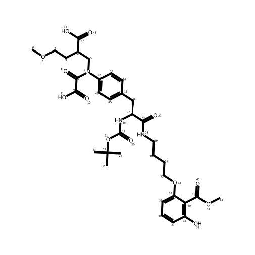 COCCC(CN(C(=O)C(=O)O)c1ccc(C[C@H](NC(=O)OC(C)(C)C)C(=O)NCCCCOc2cccc(O)c2C(=O)OC)cc1)C(=O)O